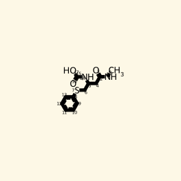 CNC(=O)CC(CSc1ccccc1)NC(=O)O